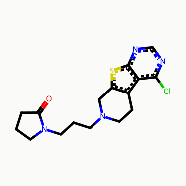 O=C1CCCN1CCCN1CCc2c(sc3ncnc(Cl)c23)C1